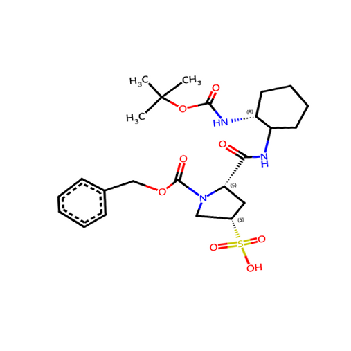 CC(C)(C)OC(=O)N[C@@H]1CCCCC1NC(=O)[C@@H]1C[C@H](S(=O)(=O)O)CN1C(=O)OCc1ccccc1